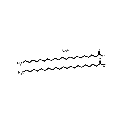 CCCCCCCCCCCCCCCCCCCCCC(=O)[O-].CCCCCCCCCCCCCCCCCCCCCC(=O)[O-].[Mn+2]